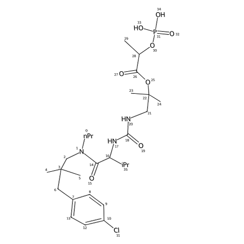 CCCN(CC(C)(C)Cc1ccc(Cl)cc1)C(=O)C(NC(=O)NCC(C)(C)OC(=O)C(C)OP(=O)(O)O)C(C)C